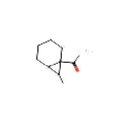 COC(=O)C12CCCCC1C2C